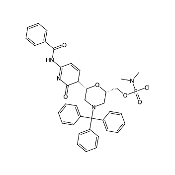 CN(C)P(=O)(Cl)OC[C@@H]1CN(C(c2ccccc2)(c2ccccc2)c2ccccc2)C[C@H](C2C=CC(NC(=O)c3ccccc3)=NC2=O)O1